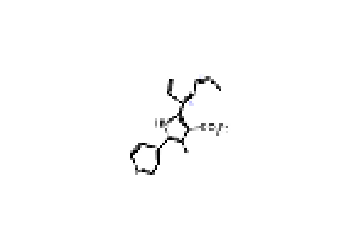 C=C/C(=C\C=C/C)c1[nH]c(-c2ccncc2)c(C)c1C(=O)OCC